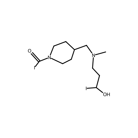 CN(CCC(O)I)CC1CCN(C(=O)I)CC1